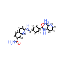 NC(=O)c1ccc2ccc(NCc3ccc(C(=O)Nc4cccnc4N)cc3)nc2c1